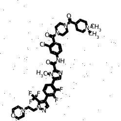 Cn1c(-c2ccc(-c3cnn(CCN4CCOCC4)c3C(F)(F)F)c(F)c2F)cnc1C(=O)Nc1ccc(C(=O)N2CCN(C(=O)C3CC[N+](C)(C)CC3)CC2)c(Cl)c1